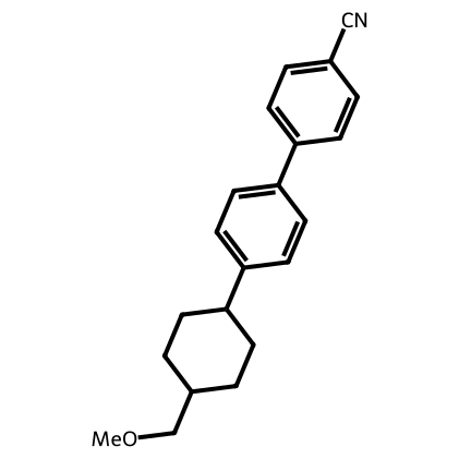 COCC1CCC(c2ccc(-c3ccc(C#N)cc3)cc2)CC1